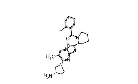 Cc1cn2nc([C@@H]3CCCCN3C(=O)c3ccccc3F)cc2nc1N1CC[C@H](N)C1